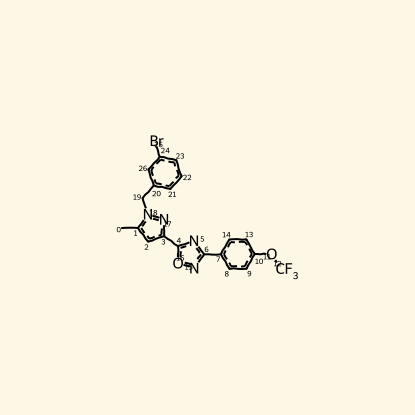 Cc1cc(-c2nc(-c3ccc(OC(F)(F)F)cc3)no2)nn1Cc1cccc(Br)c1